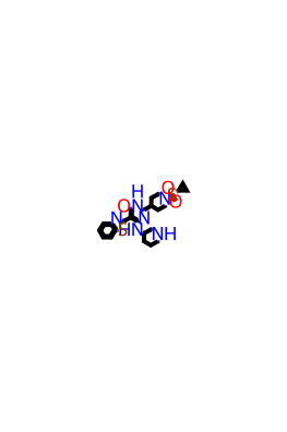 O=c1[nH]c(C2CCN(S(=O)(=O)C3CC3)CC2)nc(NC2CCCNC2)c1-c1nc2ccccc2s1